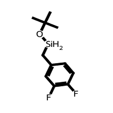 CC(C)(C)O[SiH2]Cc1ccc(F)c(F)c1